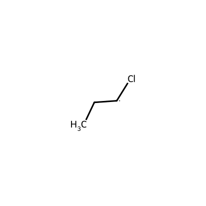 CC[CH]Cl